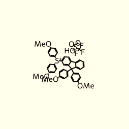 COc1ccc([S+](c2ccc(OC)cc2)c2ccc3c(c2)C(c2ccc(OC)cc2)(c2ccc(OC)cc2)c2ccccc2-3)cc1.O=S(=O)(O)C(F)(F)F